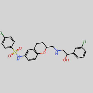 O=S(=O)(Nc1ccc2c(c1)CCC(CNCC(O)c1cccc(Cl)c1)O2)c1ccc(Cl)cc1